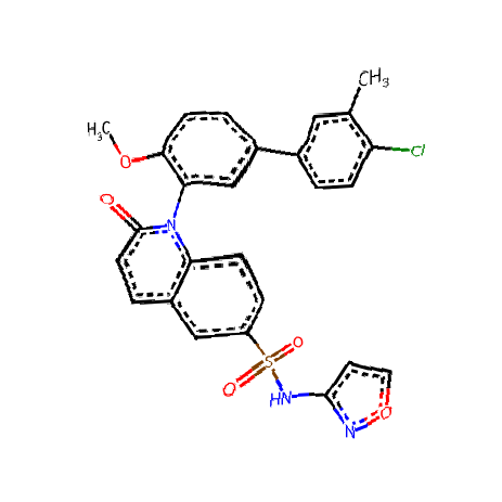 COc1ccc(-c2ccc(Cl)c(C)c2)cc1-n1c(=O)ccc2cc(S(=O)(=O)Nc3ccon3)ccc21